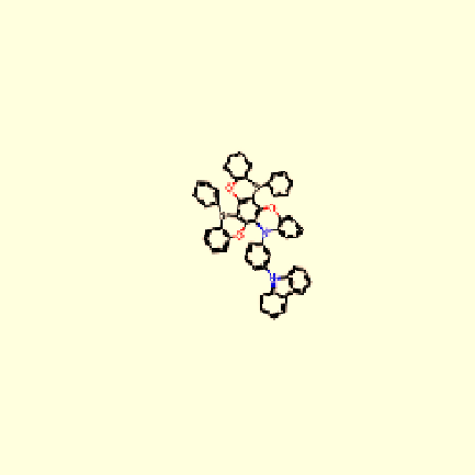 c1ccc(B2c3ccccc3Oc3c2c2c(c4c3N(c3cccc(-n5c6ccccc6c6ccccc65)c3)c3ccccc3O4)B(c3ccccc3)c3ccccc3O2)cc1